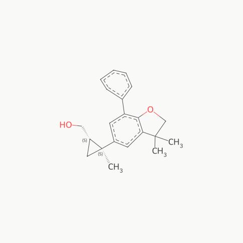 CC1(C)COc2c(-c3ccccc3)cc([C@@]3(C)C[C@@H]3CO)cc21